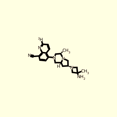 [2H]c1ccc2c(N3C[C@@H]4C[C@H](N5CC(C)(N)C5)CN4[C@H](C)C3)ccc(C#N)c2n1